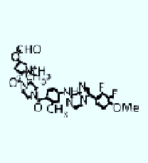 COc1ccc(-c2cnc3c(Nc4ccc(C(=O)N5CCN(C(=O)[C@@H]6C[C@@H](OC=O)C[N+]6(C)C)CC5)c(C)c4)nccn23)c(F)c1F